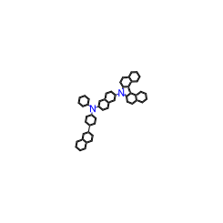 c1ccc(N(c2ccc(-c3ccc4ccccc4c3)cc2)c2ccc3cc(-n4c5ccc6ccccc6c5c5c6ccccc6ccc54)ccc3c2)cc1